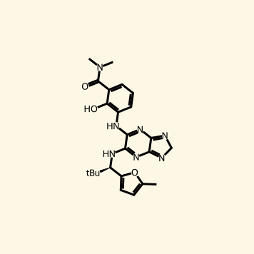 Cc1ccc([C@H](Nc2nc3c(nc2Nc2cccc(C(=O)N(C)C)c2O)=NCN=3)C(C)(C)C)o1